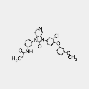 C=CC(=O)Nc1cccc(-n2c(=O)n(-c3ccc(Oc4cccc(OC)c4)c(Cl)c3)c3cnccc32)c1